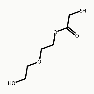 O=C(CS)OCCOCCO